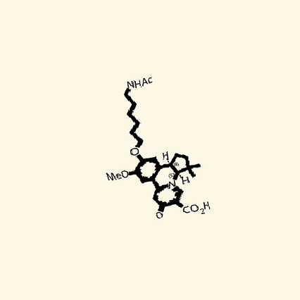 COc1cc2c(cc1OCCCCCCNC(C)=O)[C@H]1CCC(C)(C)[C@H]1n1cc(C(=O)O)c(=O)cc1-2